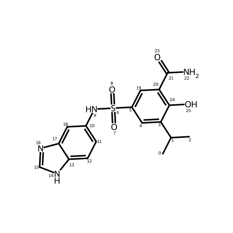 CC(C)c1cc(S(=O)(=O)Nc2ccc3[nH]cnc3c2)cc(C(N)=O)c1O